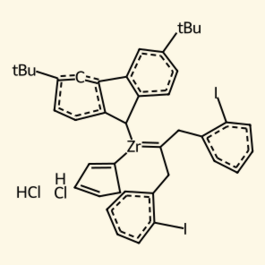 CC(C)(C)c1ccc2c(c1)-c1cc(C(C)(C)C)ccc1[CH]2[Zr]([C]1=CC=CC1)=[C](Cc1ccccc1I)Cc1ccccc1I.Cl.Cl